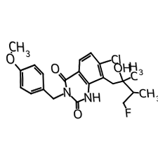 COc1ccc(Cn2c(=O)[nH]c3c(CC(C)(O)C(C)CF)c(Cl)ccc3c2=O)cc1